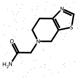 NC(=O)CN1CCc2ncsc2C1